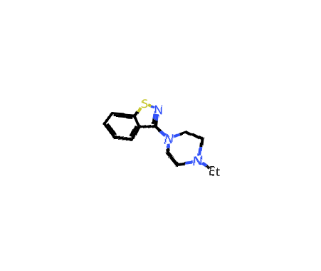 CCN1CCN(c2nsc3ccccc23)CC1